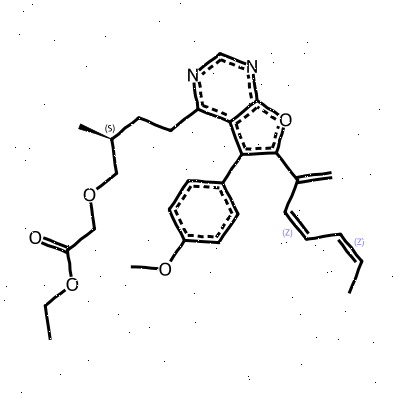 C=C(/C=C\C=C/C)c1oc2ncnc(CC[C@H](C)COCC(=O)OCC)c2c1-c1ccc(OC)cc1